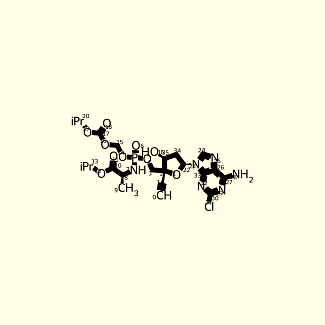 C#C[C@]1(COP(=O)(N[C@@H](C)C(=O)OC(C)C)OCOC(=O)OC(C)C)O[C@@H](n2cnc3c(N)nc(Cl)nc32)C[C@@H]1O